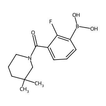 CC1(C)CCCN(C(=O)c2cccc(B(O)O)c2F)C1